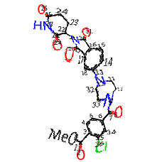 COC(=O)c1ccc(C(=O)N2CCN(c3ccc4c(c3)C(=O)N(C3CCC(=O)NC3=O)C4=O)CC2)cc1Cl